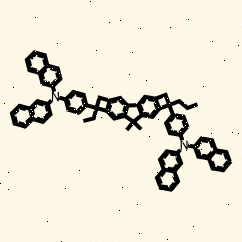 CCCC1(c2ccc(N(c3ccc4ccccc4c3)c3ccc4ccccc4c3)cc2)Cc2cc3c(cc21)C(C)(C)c1cc2c(cc1-3)CC2(CC)c1ccc(N(c2ccc3ccccc3c2)c2ccc3ccccc3c2)cc1